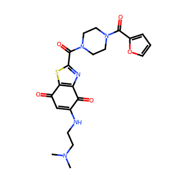 CN(C)CCNC1=CC(=O)c2sc(C(=O)N3CCN(C(=O)c4ccco4)CC3)nc2C1=O